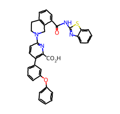 O=C(Nc1nc2ccccc2s1)c1cccc2c1CN(c1ccc(-c3cccc(Oc4ccccc4)c3)c(C(=O)O)n1)CC2